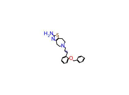 Nc1nc2c(s1)CCN(C/C=C/c1ccccc1OCc1ccccc1)CC2